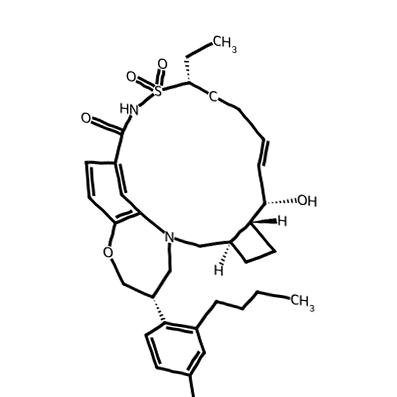 CCCCc1cc(Cl)ccc1[C@@H]1COc2ccc3cc2N(C1)C[C@@H]1CC[C@H]1[C@@H](O)/C=C/CC[C@@H](CC)S(=O)(=O)NC3=O